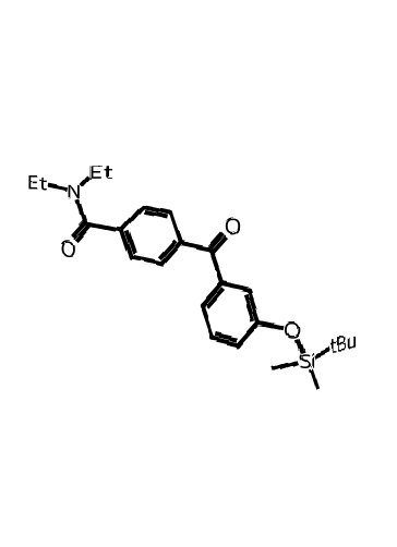 CCN(CC)C(=O)c1ccc(C(=O)c2cccc(O[Si](C)(C)C(C)(C)C)c2)cc1